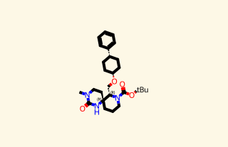 CN1CC[C@@]2(CCCN(C(=O)OC(C)(C)C)[C@H]2CO[C@H]2CC[C@@H](c3ccccc3)CC2)NC1=O